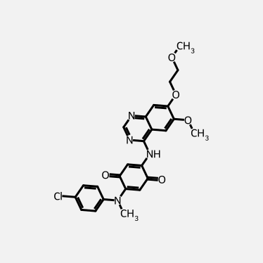 COCCOc1cc2ncnc(NC3=CC(=O)C(N(C)c4ccc(Cl)cc4)=CC3=O)c2cc1OC